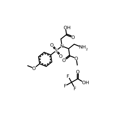 COC(=O)C(CN)N(CC(=O)O)S(=O)(=O)c1ccc(OC)cc1.O=C(O)C(F)(F)F